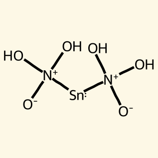 [O-][N+](O)(O)[Sn][N+]([O-])(O)O